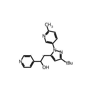 Cc1ccc(-n2nc(C(C)(C)C)cc2[CH]C(O)c2ccncc2)cn1